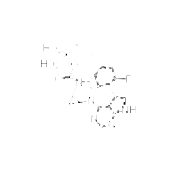 CC(C)(C)OC(=O)N1CCN(c2ncnc3[nH]cc(-c4ccccc4F)c23)C2CC21